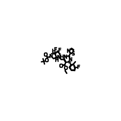 CCOC(=O)C1=C(CN2CC(F)(F)[C@@H]3CN(C(=O)OC(C)(C)C)C[C@@H]32)NC(c2nccs2)=N[C@H]1c1cccc(F)c1C